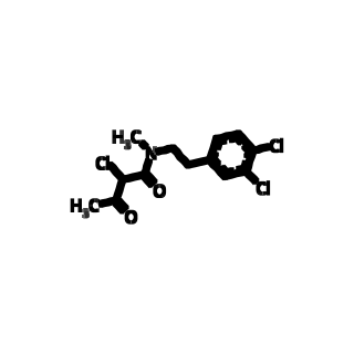 CC(=O)C(Cl)C(=O)N(C)CCc1ccc(Cl)c(Cl)c1